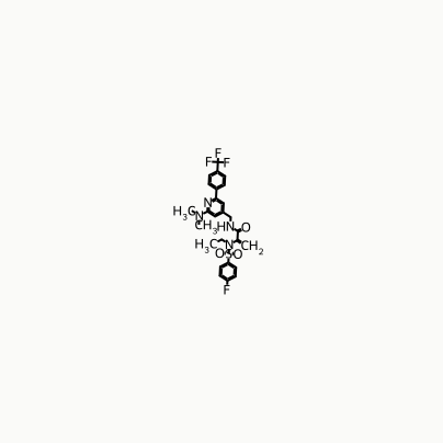 C=C(C(=O)NCc1cc(-c2ccc(C(F)(F)F)cc2)nc(N(C)C)c1)N(CC)S(=O)(=O)c1ccc(F)cc1